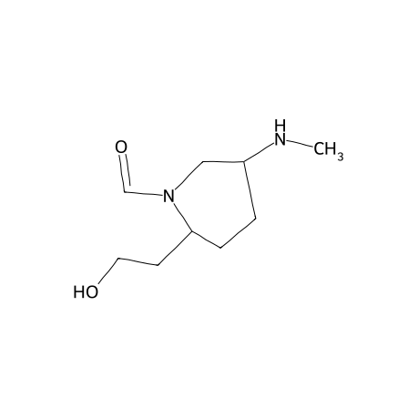 CNC1CCC(CCO)N(C=O)C1